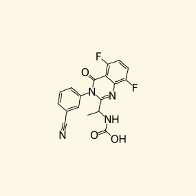 CC(NC(=O)O)c1nc2c(F)ccc(F)c2c(=O)n1-c1cccc(C#N)c1